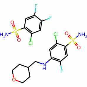 NS(=O)(=O)c1cc(F)c(F)cc1Cl.NS(=O)(=O)c1cc(F)c(NCC2CCOCC2)cc1Cl